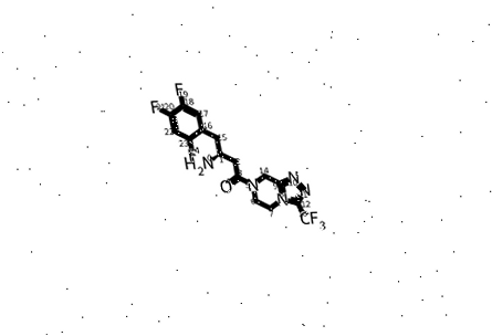 N[C@H](CC(=O)N1CCn2c(nnc2C(F)(F)F)C1)CC1C=C(F)C(F)=CC1F